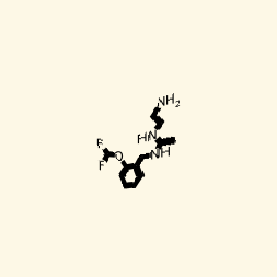 C=C(NCCN)NCc1ccccc1OC(F)F